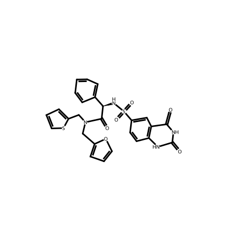 O=C([C@H](NS(=O)(=O)c1ccc2[nH]c(=O)[nH]c(=O)c2c1)c1ccccc1)N(Cc1ccco1)Cc1cccs1